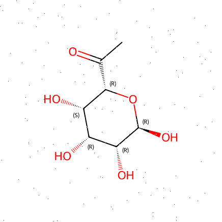 CC(=O)[C@@H]1O[C@@H](O)[C@H](O)[C@H](O)[C@@H]1O